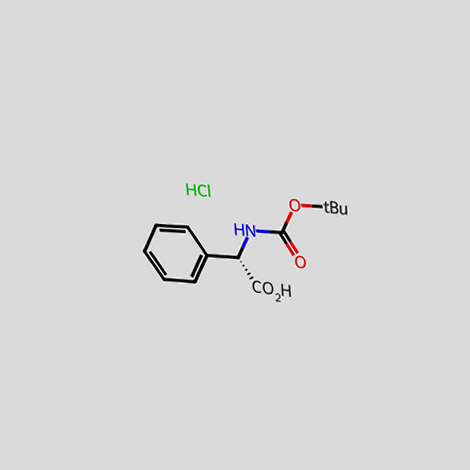 CC(C)(C)OC(=O)N[C@H](C(=O)O)c1ccccc1.Cl